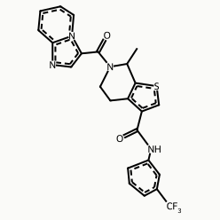 CC1c2scc(C(=O)Nc3cccc(C(F)(F)F)c3)c2CCN1C(=O)c1cnc2ccccn12